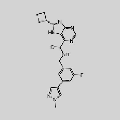 Cn1cc(-c2cc(F)cc(CNC(=O)c3ncnc4nc(C5CCC5)[nH]c34)c2)cn1